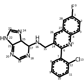 Fc1ccc2nc(-c3ccccc3Cl)c(CNC3N=CN=C4NC=NC43)cc2c1